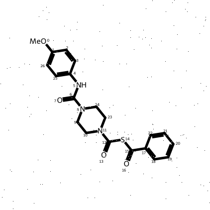 COc1ccc(NC(=O)N2CCN(C(=O)SC(=O)c3ccccc3)CC2)cc1